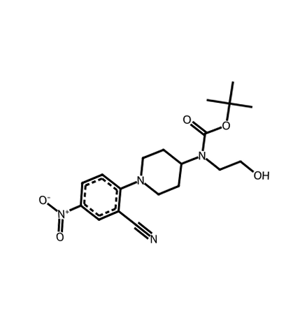 CC(C)(C)OC(=O)N(CCO)C1CCN(c2ccc([N+](=O)[O-])cc2C#N)CC1